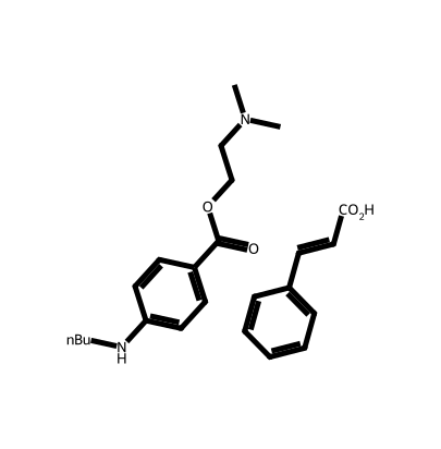 CCCCNc1ccc(C(=O)OCCN(C)C)cc1.O=C(O)C=Cc1ccccc1